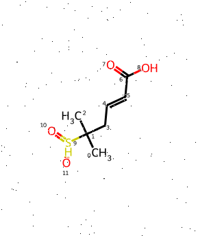 CC(C)(CC=CC(=O)O)[SH](=O)=O